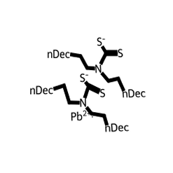 CCCCCCCCCCCCN(CCCCCCCCCCCC)C(=S)[S-].CCCCCCCCCCCCN(CCCCCCCCCCCC)C(=S)[S-].[Pb+2]